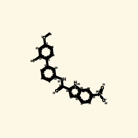 COc1ccc(-c2cccc(NC(=O)c3cc4ccc([N+](=O)[O-])cc4[nH]3)c2)c(F)c1